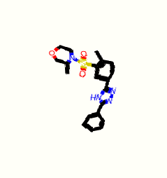 Cc1ccc(-c2nnc(-c3ccccc3)[nH]2)cc1S(=O)(=O)N1CCOCC1C